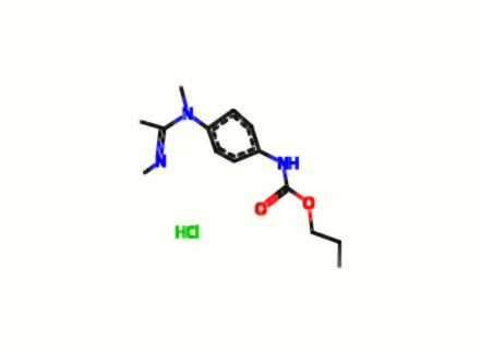 CCCOC(=O)Nc1ccc(N(C)C(C)=NC)cc1.Cl